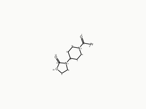 CC(C)C(=O)N1CCC(N2CCOC2=O)CC1